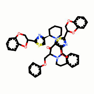 O=C(C(COc1ccccc1)N1CCCC[C@@H]1c1csc(C2COc3ccccc3O2)n1)C(COc1ccccc1)N1CCCC[C@@H]1c1csc(C2COc3ccccc3O2)n1